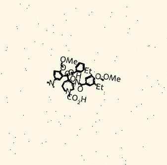 CCc1cc(C(=O)N[C@@H]2CN(C(=O)O)CCC[C@]2(OC(=O)c2ccccc2)C(=O)c2cc(N(C)C)ccc2OCOC)cc(CC)c1OCOC